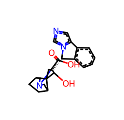 O=C(O)N1CC2CCC(C1)C21CC([C@H]2c3ccccc3-c3cncn32)C1O